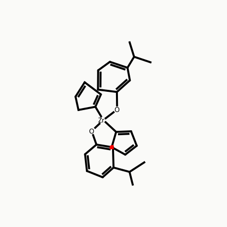 CC(C)c1cccc([O][Zr]([O]c2cccc(C(C)C)c2)([C]2=CC=CC2)[C]2=CC=CC2)c1